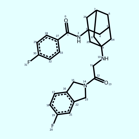 O=C(NC12CC3CC(CC(NCC(=O)N4Cc5ccc(F)cc5C4)(C3)C1)C2)c1ccc(F)cc1